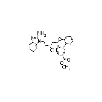 COC(=O)c1ccnc(-c2ccccc2OCCC(C)CCn2c(N)nc3ccccc32)c1